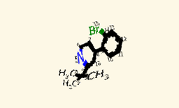 CC(C)(C)C1=NCC=C(c2ccccc2Br)C1